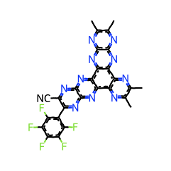 Cc1nc2nc3c4nc(C)c(C)nc4c4nc5nc(-c6c(F)c(F)c(F)c(F)c6F)c(C#N)nc5nc4c3nc2nc1C